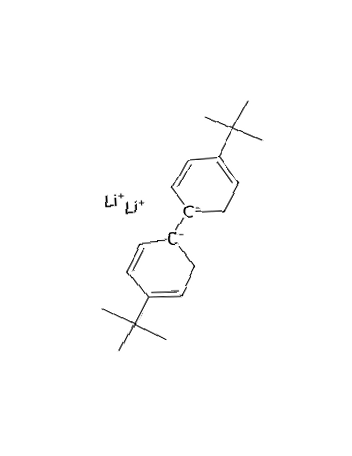 CC(C)(C)C1=CC[C-]([C-]2C=CC(C(C)(C)C)=CC2)C=C1.[Li+].[Li+]